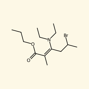 CCCOC(=O)C(C)=C(CC(C)Br)N(CC)CC